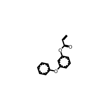 C=CC(=O)Oc1cccc(Oc2ccccc2)c1